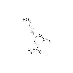 COC(/C=C/CCO)CCC(C)C